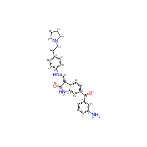 Nc1cccc(C(=O)c2ccc3c(c2)NC(=O)C3=CNc2ccc(CCN3CCCC3)cc2)c1